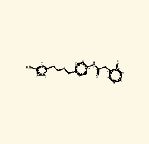 Nc1nnc(CCCCc2ccc(NC(=O)Cc3ccccc3Cl)cn2)s1